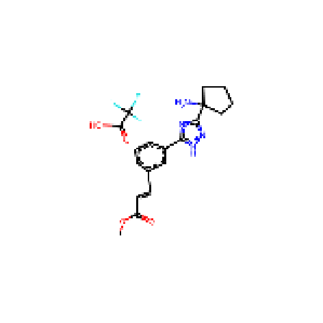 COC(=O)C=Cc1cccc(-c2nc(C3(N)CCCC3)n[nH]2)c1.O=C(O)C(F)(F)F